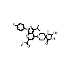 COC(=O)c1cc(N2CCC3(CC2)NC(O)NC3=O)c2c(C(C)C)nn(-c3ccc(F)cc3)c2n1